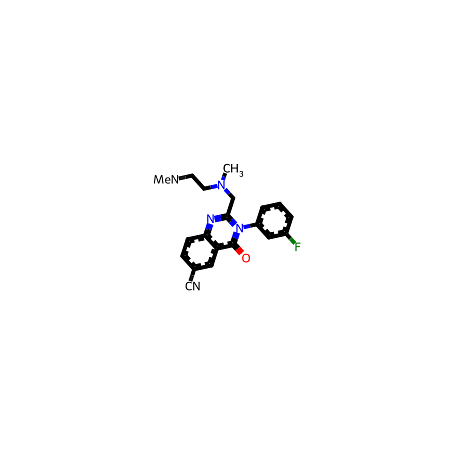 CNCCN(C)Cc1nc2ccc(C#N)cc2c(=O)n1-c1cccc(F)c1